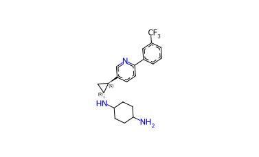 NC1CCC(N[C@@H]2C[C@H]2c2ccc(-c3cccc(C(F)(F)F)c3)nc2)CC1